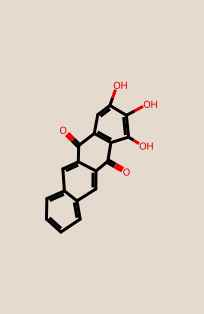 O=C1c2cc3ccccc3cc2C(=O)c2c1cc(O)c(O)c2O